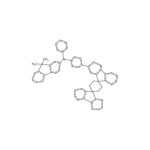 CC1(C)c2ccccc2-c2ccc(N(c3ccccc3)c3ccc(-c4ccc5c(c4)C4(CCC6(CC4)c4ccccc4-c4ccccc46)c4ccccc4-5)cc3)cc21